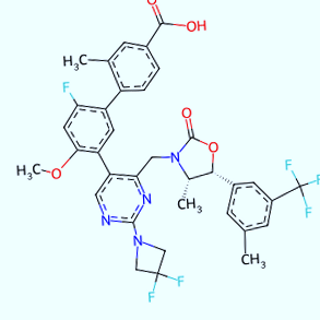 COc1cc(F)c(-c2ccc(C(=O)O)cc2C)cc1-c1cnc(N2CC(F)(F)C2)nc1CN1C(=O)O[C@H](c2cc(C)cc(C(F)(F)F)c2)[C@@H]1C